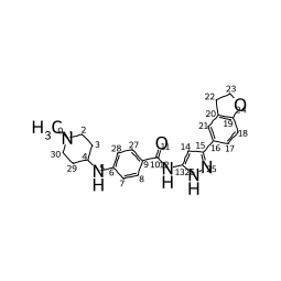 CN1CCC(Nc2ccc(C(=O)Nc3cc(-c4ccc5c(c4)CCO5)n[nH]3)cc2)CC1